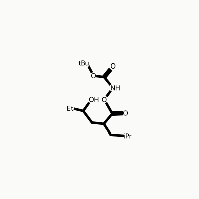 CCC(O)CC(CC(C)C)C(=O)ONC(=O)OC(C)(C)C